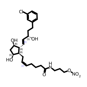 O=C(CCC/C=C\C[C@@H]1[C@@H](/C=C/[C@@H](O)CCc2cccc(Cl)c2)[C@H](O)C[C@@H]1O)NCCCO[N+](=O)[O-]